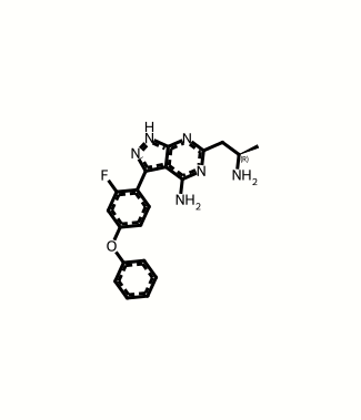 C[C@@H](N)Cc1nc(N)c2c(-c3ccc(Oc4ccccc4)cc3F)n[nH]c2n1